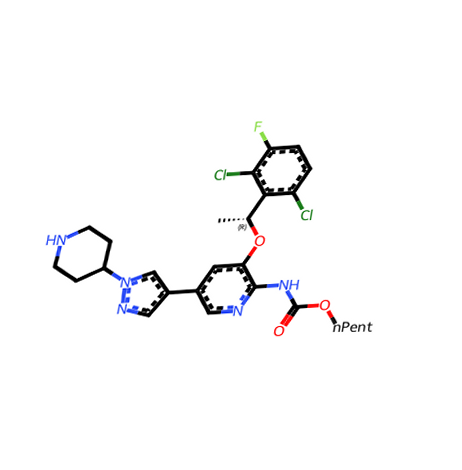 CCCCCOC(=O)Nc1ncc(-c2cnn(C3CCNCC3)c2)cc1O[C@H](C)c1c(Cl)ccc(F)c1Cl